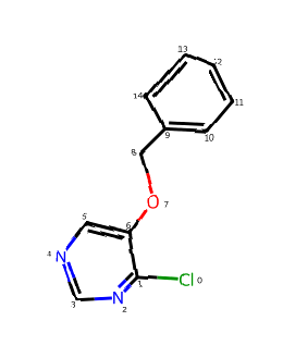 Clc1ncncc1OCc1ccccc1